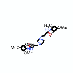 COc1cc(C)c(NC(=O)CCCN2CCCN(CCCC(=O)Nc3c(OC)cc(OC)cc3OC)CC2)c(C)c1